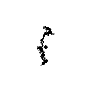 Cc1ncsc1-c1ccc([C@H](C)C(=O)N[C@@H]2C[C@@H](O)CN2C(=O)[C@H](c2cc(OCCCCCC(=O)N3CCN(CC[C@H](CSc4ccccc4)Nc4ccc(S(=O)(=O)NC(=O)c5ccc6c(c5)OC[C@@H]5CN(CC7=C(c8ccc(Cl)cc8)CCC(C)(C)C7)CCN65)cc4S(=O)(=O)C(F)(F)F)CC3)no2)C(C)C)cc1